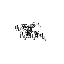 COc1ccc(C[C@@H]2[C@H](OC(=O)NC[C@@H]3CCN(C(=O)OC(C)(C)C)C3)[C@@H](OC(=O)OC(C)(C)C)CN2C(=O)OC(C)(C)C)cc1